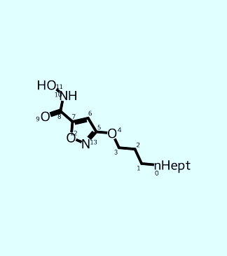 CCCCCCCCCCOc1cc(C(=O)NO)on1